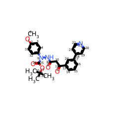 COc1ccc(N(NC(=O)CC(=O)c2cccc(-c3ccncc3)c2)C(=O)OC(C)(C)C)cc1